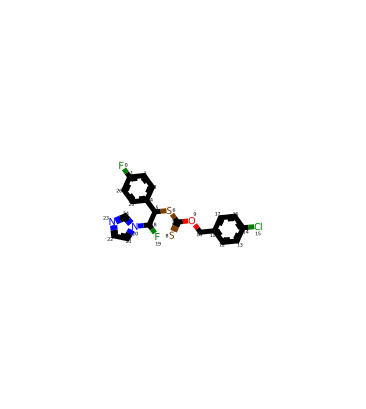 Fc1ccc(C(SC(=S)OCc2ccc(Cl)cc2)C(F)n2ccnc2)cc1